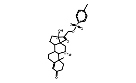 Cc1ccc(S(=O)(=O)OCC(=O)[C@@]2(O)CCC3C4CCC5=CC(=O)CCC5(C)C4[C@@H](O)CC32C)cc1